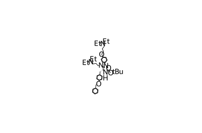 CCN(CC)CCCOc1ccc2nc([C@@H](Cc3ccc(OCc4ccccc4)cc3)NC(=O)OC(C)(C)C)n(CCCN(CC)CC)c2c1